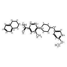 COc1ccc(OC2CCN(c3nnc(C(=O)N[C@H]4CCc5ccccc5C4)cc3C)CC2)cn1